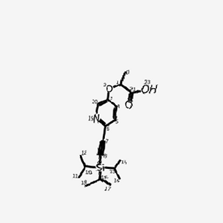 CC(Oc1ccc(C#C[Si](C(C)C)(C(C)C)C(C)C)nc1)C(=O)O